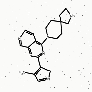 Cc1cnsc1-c1nc(N2CCC3(CCNC3)CC2)c2ccncc2n1